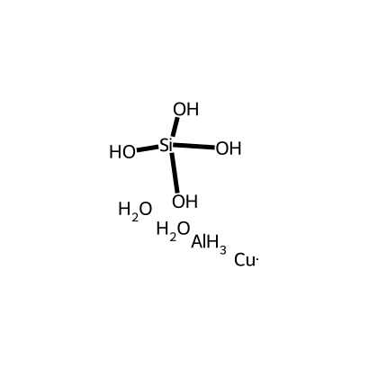 O.O.O[Si](O)(O)O.[AlH3].[Cu]